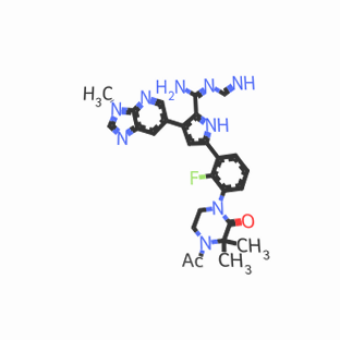 CC(=O)N1CCN(c2cccc(-c3cc(-c4cnc5c(c4)ncn5C)c(/C(N)=N\C=N)[nH]3)c2F)C(=O)C1(C)C